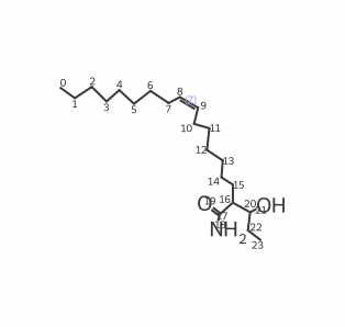 CCCCCCCC/C=C\CCCCCCC(C(N)=O)C(O)CC